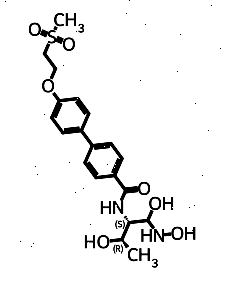 C[C@@H](O)[C@H](NC(=O)c1ccc(-c2ccc(OCCS(C)(=O)=O)cc2)cc1)C(O)NO